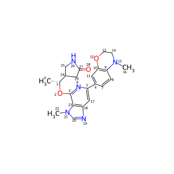 C[C@@H](Oc1nc(-c2ccc3c(c2)OCCN3C)cc2ncn(C)c12)C1CNC(=O)C1